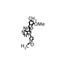 C=CC(=O)N1CCC(n2cc(-c3cc4cc(C)cc(OC)c4s3)c3c(N)ncnc32)C1